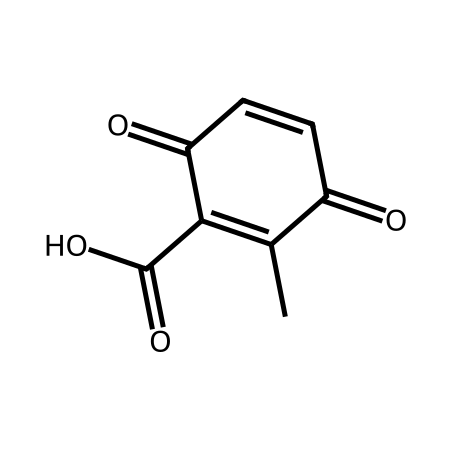 CC1=C(C(=O)O)C(=O)C=CC1=O